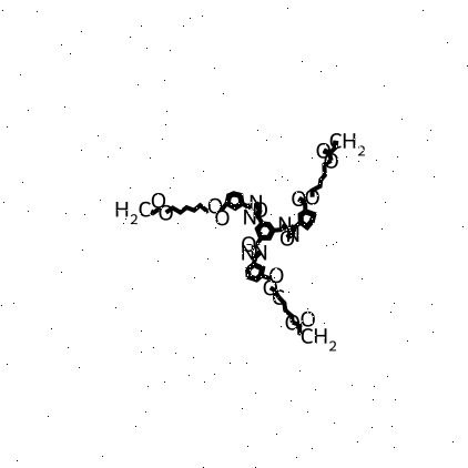 C=CC(=O)OCCCCCCOC(=O)c1cccc(-c2noc(-c3cc(-c4nc(-c5cccc(C(=O)OCCCCCOC(=O)C=C)c5)no4)cc(-c4nc(-c5cccc(C(=O)OCCCCCOC(=O)C=C)c5)no4)c3)n2)c1